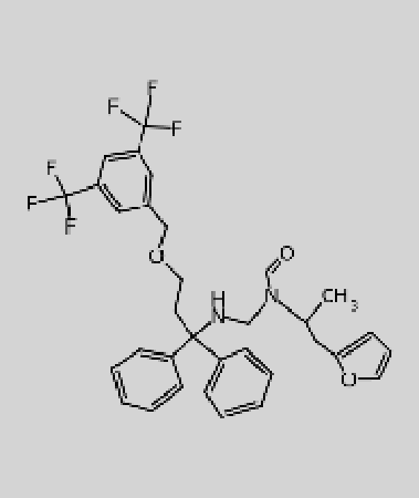 CC(Cc1ccco1)N(C=O)CNC(CCOCc1cc(C(F)(F)F)cc(C(F)(F)F)c1)(c1ccccc1)c1ccccc1